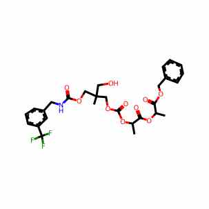 CC(OC(=O)OCC(C)(CO)COC(=O)NCc1cccc(C(F)(F)F)c1)C(=O)OC(C)C(=O)OCc1ccccc1